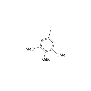 COc1cc(C)cc(OC)c1OCC(C)C